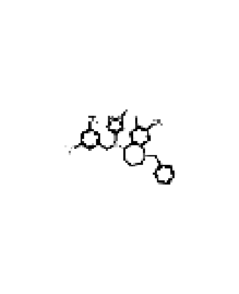 Cc1cc2c(cc1C(F)(F)F)N(Cc1ccccc1)CCC[C@@H]2N(Cc1cc(C(F)(F)F)cc(C(F)(F)F)c1)c1nnn(C)n1